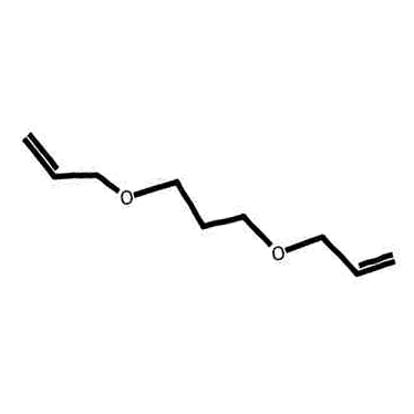 C=CCOCCCOCC=C